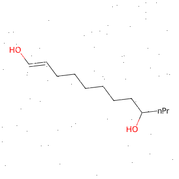 CCCC(O)CCCCCCC=CO